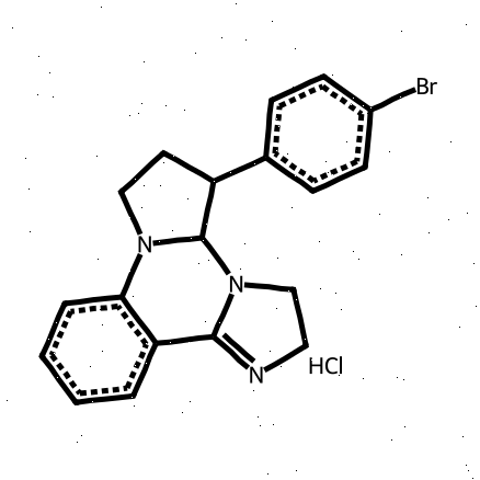 Brc1ccc(C2CCN3c4ccccc4C4=NCCN4C23)cc1.Cl